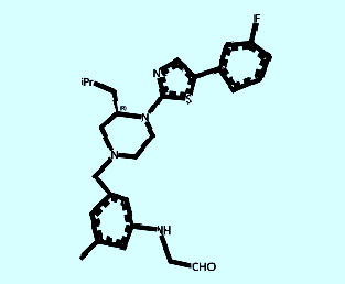 Cc1cc(CN2CCN(c3ncc(-c4cccc(F)c4)s3)[C@H](CC(C)C)C2)cc(NCC=O)c1